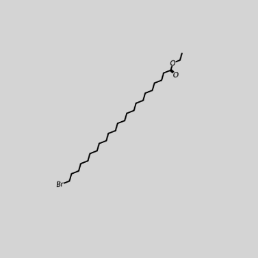 CCOC(=O)CCCCCCCCCCCCCCCCCCCCCCBr